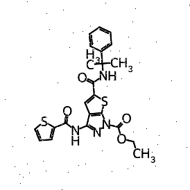 CCOC(=O)n1nc(NC(=O)c2cccs2)c2cc(C(=O)NC(C)(C)c3ccccc3)sc21